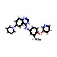 COc1cc(Nc2ncnc3ccc(N4CCCCC4)cc23)ccc1Oc1cccnc1